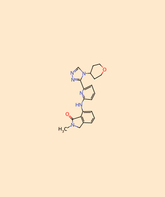 CN1Cc2cccc(Nc3cccc(-c4nncn4C4CCOCC4)n3)c2C1=O